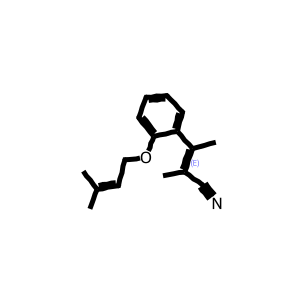 CC(C)=CCOc1ccccc1/C(C)=C(\C)C#N